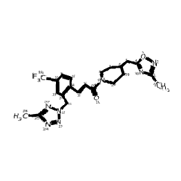 Cc1noc(CC2CCN(C(=O)C=Cc3ccc(C(F)(F)F)cc3Cn3nnc(C)n3)CC2)n1